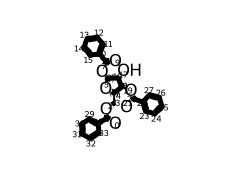 O=C(OC[C@H]1O[C@H](OC(=O)c2ccccc2)C(O)[C@H]1OC(=O)c1ccccc1)c1ccccc1